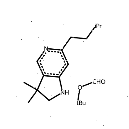 CC(C)(C)OC=O.CC(C)CCc1cc2c(cn1)C(C)(C)CN2